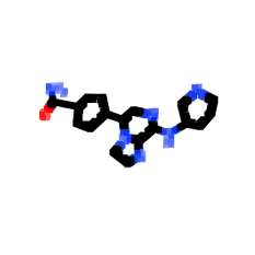 NC(=O)c1ccc(-c2cnc(Nc3cccnc3)c3nccn23)cc1